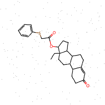 CCC12CCC3C4CCC(=O)C=C4CCC3C1CCC2OC(=O)CSc1ccccc1